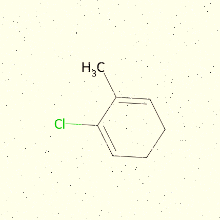 CC1=CCCC=C1Cl